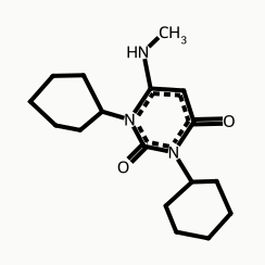 CNc1cc(=O)n(C2CCCCC2)c(=O)n1C1CCCCC1